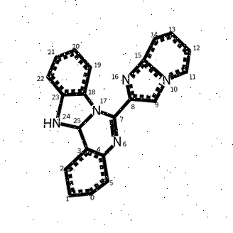 c1ccc2c(c1)N=C(c1cn3ccccc3n1)N1c3ccccc3NC21